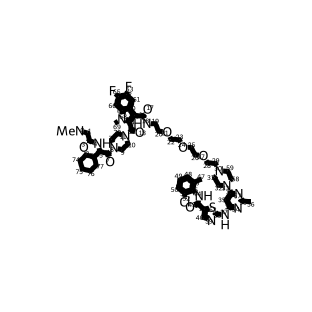 CNCC(=O)NC(C(=O)N1CCN(C(=O)c2c(C(=O)NCCOCCOCCOCCN3CCN(c4cc(Nc5ncc(C(=O)Nc6c(C)cccc6Cl)s5)nc(C)n4)CC3)c3cc(F)c(F)cc3n2C)CC1)C1CCCCC1